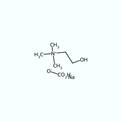 C[N+](C)(C)CCO.O=C([O-])O.[Na]